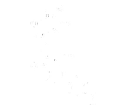 CCn1c(COC(=O)c2nc(Cl)c(N)nc2N)[n+](C)c2ccc(-c3ccc(OC)cc3)cc21